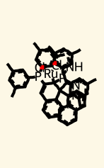 CNCC(NC)C1(c2cccc3ccccc23)c2ccccc2C=C(P(c2cc(C)cc(C)c2)c2cc(C)cc(C)c2)[C]1(P(c1cc(C)cc(C)c1)c1cc(C)cc(C)c1)[Ru]([Cl])[Cl]